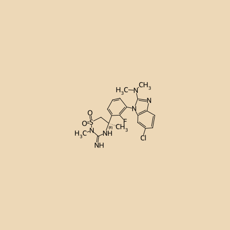 CN(C)c1nc2ccc(Cl)cc2n1-c1cccc([C@]2(C)CS(=O)(=O)N(C)C(=N)N2)c1F